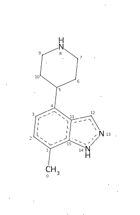 Cc1ccc(C2CCNCC2)c2cn[nH]c12